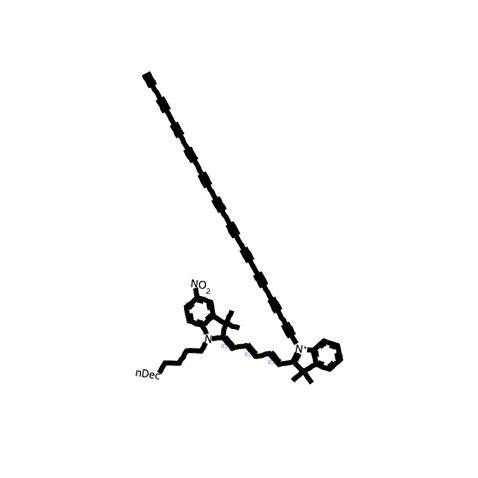 C#CC#CC#CC#CC#CC#CC#CC#CC#CC#CC#C[N+]1=C(/C=C/C=C/C=C2/N(CCCCCCCCCCCCCC)c3ccc([N+](=O)[O-])cc3C2(C)C)C(C)(C)c2ccccc21